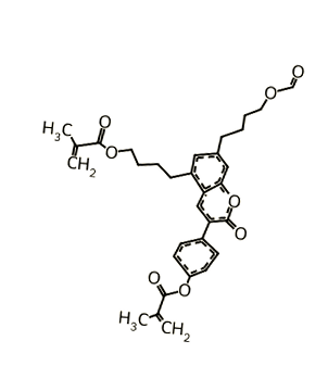 C=C(C)C(=O)OCCCCc1cc(CCCCOC=O)cc2oc(=O)c(-c3ccc(OC(=O)C(=C)C)cc3)cc12